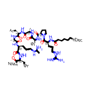 C=C(N)NCCC[C@H](NC(=O)[C@H](C)NC(=O)[C@H](CC(C)=O)NC(=O)[C@H](C)NC(=O)[C@@H](NC(=O)[C@@H]1CCCN1C(=O)[C@H](CCCNC(=N)N)NC(=O)CCCCCCCCCCCCCCC)C(C)C)C(=O)N[C@@H](CC(C)C)C(=O)NC